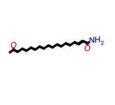 CC(=O)CCCCCCCCCCCCCCC=CC(N)=O